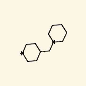 C1CCN(CC2CC[N]CC2)CC1